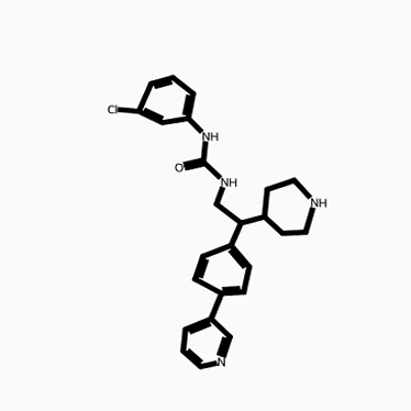 O=C(NCC(c1ccc(-c2cccnc2)cc1)C1CCNCC1)Nc1cccc(Cl)c1